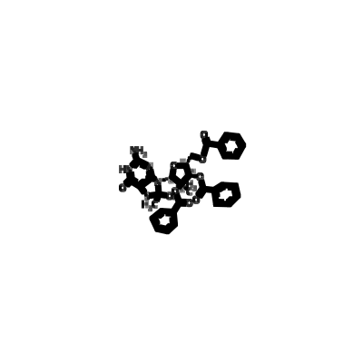 CC1(O)Sc2c(nc(N)[nH]c2=O)N1[C@@H]1O[C@H](COC(=O)c2ccccc2)[C@@H](OC(=O)c2ccccc2)[C@@]1(C)OC(=O)c1ccccc1